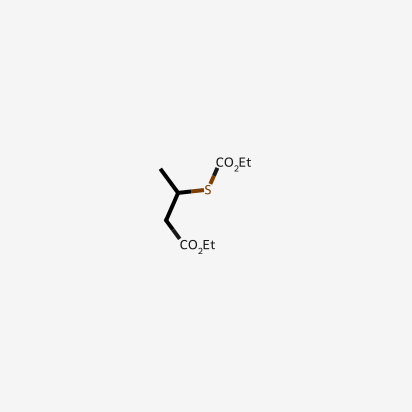 CCOC(=O)CC(C)SC(=O)OCC